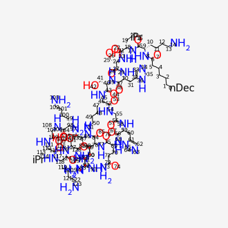 CCCCCCCCCCCCCCCC(=O)N[C@@H](CCCCN)C(=O)N[C@@H](CC(C)C)C(=O)N[C@@H](CO)C(=O)N[C@@H](Cc1cnc[nH]1)C(=O)N[C@@H](CO)C(=O)N[C@@H](CCCCN)C(=O)NCC(=O)N[C@@H](Cc1cnc[nH]1)C(=O)N[C@@H](CCC(N)=O)C(=O)N[C@@H](CCCCN)C(=O)N[C@@H](CCCNC(=N)N)C(=O)N[C@@H](CCCCN)C(=O)N[C@@H](C)C(=O)N[C@@H](CC(C)C)C(=O)N[C@@H](CCCCN)C(=O)N[C@H](C(N)=O)[C@@H](C)O